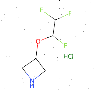 Cl.FC(F)C(F)OC1CNC1